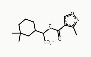 Cc1nocc1C(=O)NC(C(=O)O)C1CCCC(C)(C)C1